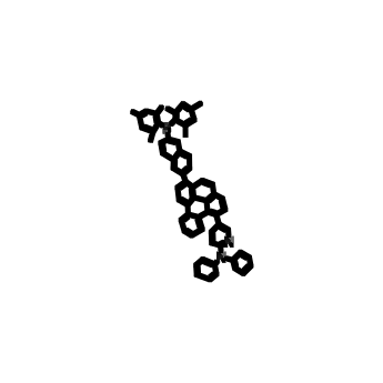 Cc1cc(C)c(B(c2ccc3cc(-c4ccc5c6ccccc6c6c(-c7ccc(N(c8ccccc8)c8ccccc8)nc7)ccc7ccc4c5c76)ccc3c2)c2c(C)cc(C)cc2C)c(C)c1